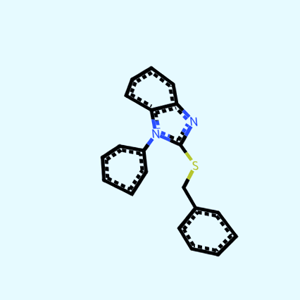 c1ccc(CSc2nc3ccccc3n2-c2ccccc2)cc1